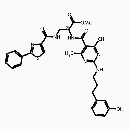 COC(=O)[C@H](CNC(=O)c1csc(-c2ccccc2)n1)NC(=O)c1c(C)nc(NCCCc2cccc(O)c2)nc1C